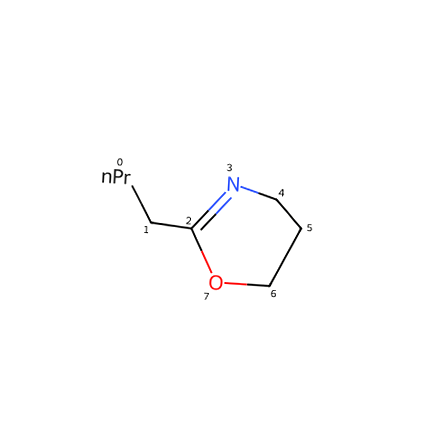 CCCCC1=NCCCO1